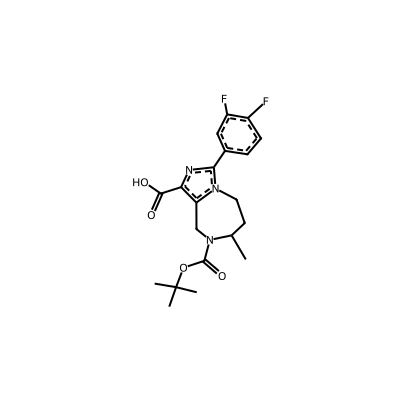 CC1CCn2c(-c3ccc(F)c(F)c3)nc(C(=O)O)c2CN1C(=O)OC(C)(C)C